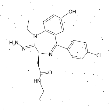 CCNC(=O)C[C@@H]1N=C(c2ccc(Cl)cc2)c2cc(O)ccc2N(CC)/C1=N\N